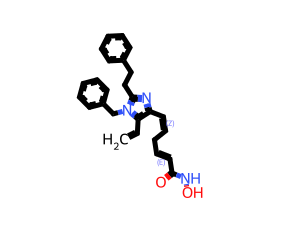 C=Cc1c(/C=C\C/C=C/C(=O)NO)nc(CCc2ccccc2)n1Cc1ccccc1